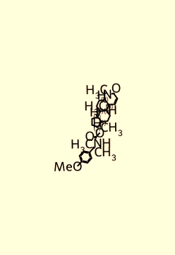 COc1ccc(C(C)(C)NC(=O)O[C@H]2CC[C@H]3[C@@H]4CC[C@H]5N(C)C(=O)C=C[C@]5(C)[C@H]4CC[C@]23C)cc1